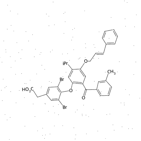 Cc1cccc(C(=O)c2cc(OCC=Cc3ccccc3)c(C(C)C)cc2Oc2c(Br)cc(CC(=O)O)cc2Br)c1